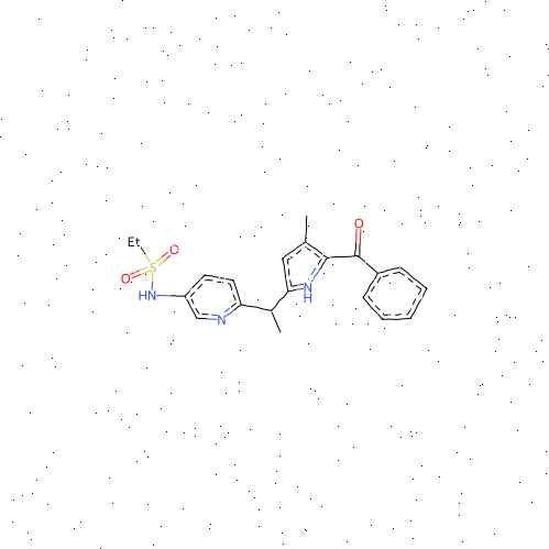 CCS(=O)(=O)Nc1ccc(C(C)c2cc(C)c(C(=O)c3ccccc3)[nH]2)nc1